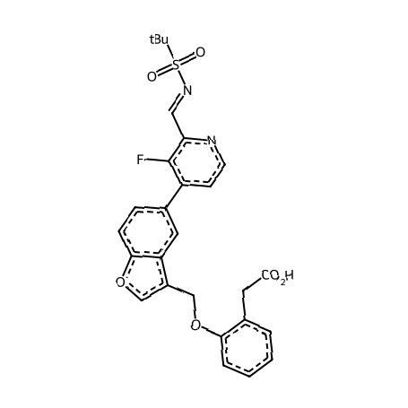 CC(C)(C)S(=O)(=O)N=Cc1nccc(-c2ccc3occ(COc4ccccc4CC(=O)O)c3c2)c1F